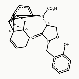 CN1CC[C@@]23C=CCC[C@@H]2Oc2c(N(C(=O)O)[C@@H]4CON(Cc5ccccc5O)C4=O)ccc(c23)C1